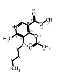 CCCCOc1c(C)ncc(C(=O)OC)c1OC(C)=O